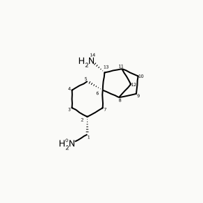 NC[C@@H]1CCC[C@@]2(C1)C1CCC(C1)[C@H]2N